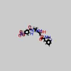 CSc1ccccc1C[C@H](N)C(=O)OCC(O)CNC(C)(C)CNC(=O)[C@H]1CC[C@H](O[N+](=O)[O-])CC1